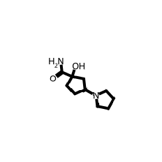 NC(=O)C1(O)CCC(N2CCCC2)C1